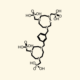 O=P(O)(O)CN1CCN(Cc2cccc(CN3CCN(CP(=O)(O)O)CCN(CP(=O)(O)O)CC3)c2)CCN(CP(=O)(O)O)CC1